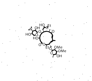 CCOC(O)C[C@H]1C[C@@H](C)C(=O)/C=C/C(C)=C/[C@H](COC2O[C@H](C)[C@@H](O)[C@@H](OC)[C@H]2OC)[C@@H](CC)OC(=O)C[C@@H](O)[C@H](C)[C@H]1O[C@@H]1O[C@H](C)[C@@H](O)[C@H](N(C)C)[C@H]1O